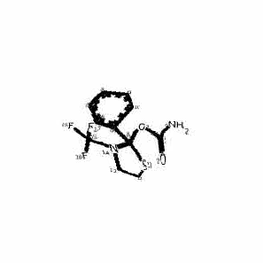 NC(=O)OC1(c2ccccc2)SCCN1C(F)(F)F